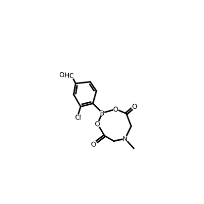 CN1CC(=O)OB(c2ccc(C=O)cc2Cl)OC(=O)C1